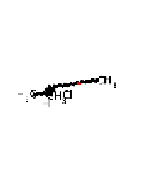 CCCCCCCCCCCCCCCCCCN1CC[N+](C)(NCCCCC)C1.[Cl-]